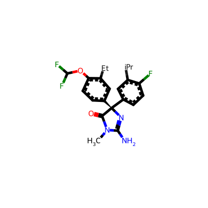 CCc1cc([C@@]2(c3ccc(F)c(C(C)C)c3)N=C(N)N(C)C2=O)ccc1OC(F)F